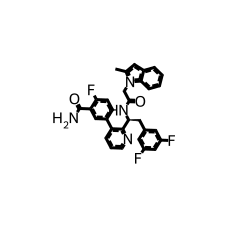 Cc1cc2ccccc2n1CC(=O)N[C@@H](Cc1cc(F)cc(F)c1)c1ncccc1-c1ccc(F)c(C(N)=O)c1